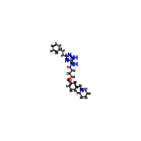 c1ccc(CCc2n[nH]c(NCCCCOc3cccc(CN4CCCCC4)c3)n2)cc1